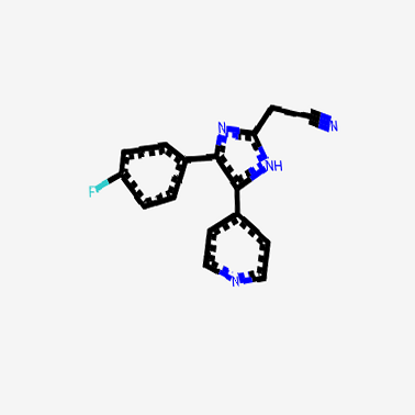 N#CCc1nc(-c2ccc(F)cc2)c(-c2ccncc2)[nH]1